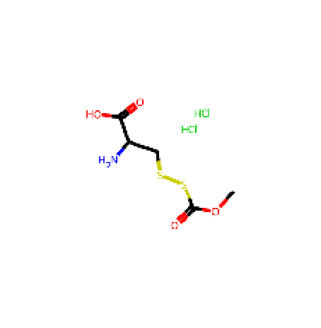 COC(=O)SSCC(N)C(=O)O.Cl.Cl